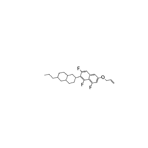 C=CCOc1cc(F)c2c(F)c(C3CCC4CC(CCC)CCC4C3)c(F)cc2c1